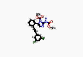 CC(C)(C)OC(=O)Nc1ncc(-c2ccccc2C#Cc2cc(F)cc(F)c2)n1C(=O)OC(C)(C)C